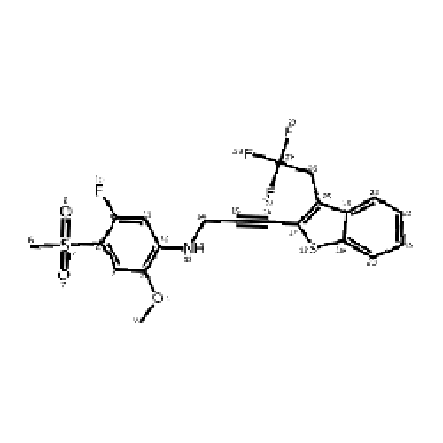 COc1cc(S(C)(=O)=O)c(F)cc1NCC#Cc1sc2ccccc2c1CC(F)(F)F